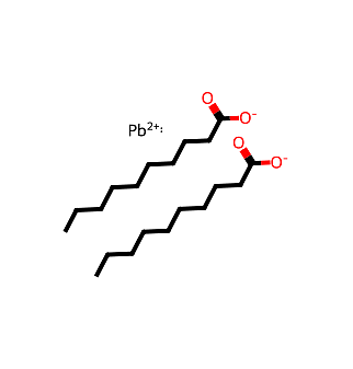 CCCCCCCCCC(=O)[O-].CCCCCCCCCC(=O)[O-].[Pb+2]